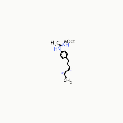 C=C/C=C\C=C/CCc1ccc(NC(=C)NCCCCCCCC)cc1